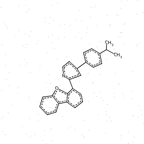 CC(C)c1ccc(-c2ccnc(-c3cccc4c3oc3ccccc34)c2)cc1